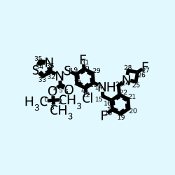 CC(C)(C)OC(=O)N(Sc1cc(Cl)c(NCc2c(F)cccc2CN2CC(F)C2)cc1F)c1cscn1